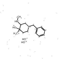 CNC1CN(Cc2ccccc2)CCC1(C)O.Cl.Cl